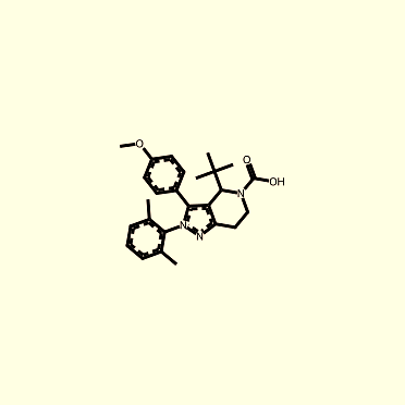 COc1ccc(-c2c3c(nn2-c2c(C)cccc2C)CCN(C(=O)O)C3C(C)(C)C)cc1